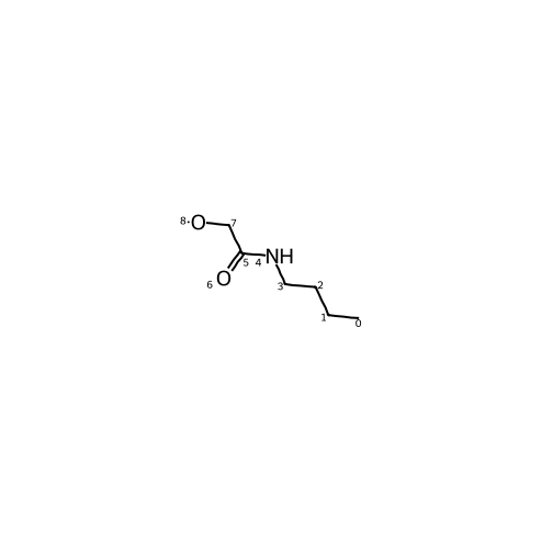 CCCCNC(=O)C[O]